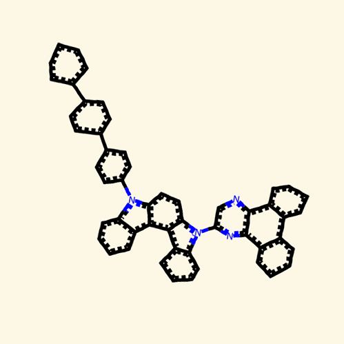 c1ccc(-c2ccc(-c3ccc(-n4c5ccccc5c5c6c7ccccc7n(-c7cnc8c9ccccc9c9ccccc9c8n7)c6ccc54)cc3)cc2)cc1